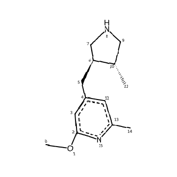 COc1cc(C[C@H]2CNC[C@@H]2C)cc(C)n1